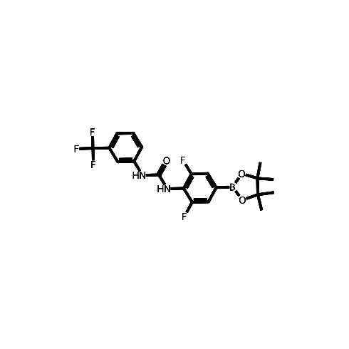 CC1(C)OB(c2cc(F)c(NC(=O)Nc3cccc(C(F)(F)F)c3)c(F)c2)OC1(C)C